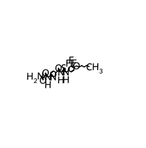 CCCCCOc1ccc(NC(=S)NC(=O)c2ccc(NC(=O)C(N)=O)nc2)cc1C(F)(F)F